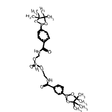 CC1(C)OB(c2ccc(C(=O)NCO[PH](=O)OCNC(=O)c3ccc(B4OC(C)(C)C(C)(C)O4)cc3)cc2)OC1(C)C